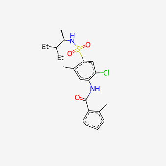 CCC(CC)[C@@H](C)NS(=O)(=O)c1cc(Cl)c(NC(=O)c2ccccc2C)cc1C